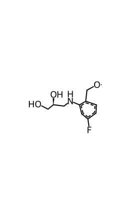 [O]Cc1ccc(F)cc1NC[C@H](O)CO